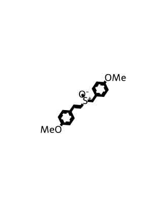 COc1ccc(C=C[S+]([O-])Cc2ccc(OC)cc2)cc1